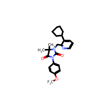 CC1(C)C(=O)N(c2ccc(OC(F)(F)F)cc2)C(=O)N1Cc1ncccc1C1CCCCC1